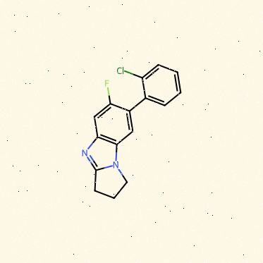 Fc1cc2nc3n(c2cc1-c1ccccc1Cl)CCC3